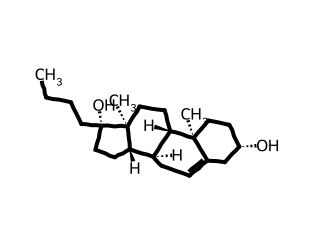 CCCC[C@]1(O)CC[C@H]2[C@@H]3CC=C4C[C@@H](O)CC[C@]4(C)[C@H]3CC[C@@]21C